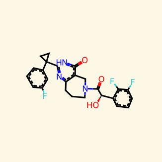 O=C([C@H](O)c1cccc(F)c1F)N1CCCc2nc(C3(c4cccc(F)c4)CC3)[nH]c(=O)c2C1